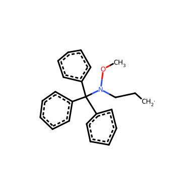 [CH2]CCN(OC)C(c1ccccc1)(c1ccccc1)c1ccccc1